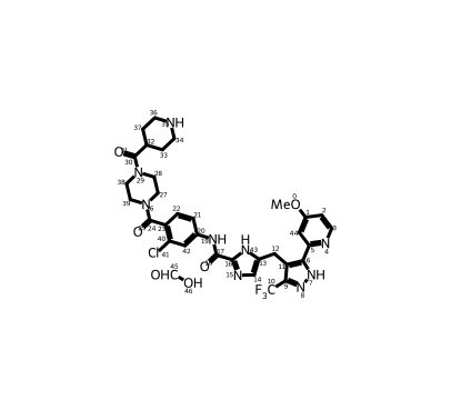 COc1ccnc(-c2[nH]nc(C(F)(F)F)c2Cc2cnc(C(=O)Nc3ccc(C(=O)N4CCN(C(=O)C5CCNCC5)CC4)c(Cl)c3)[nH]2)c1.O=CO